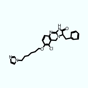 O=C1NC2=Nc3ccc(OCCCCCCn4ccnc4)c(Cl)c3CN2C1Cc1ccccc1